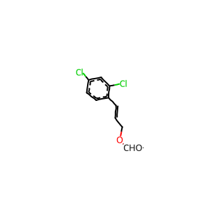 O=[C]OCC=Cc1ccc(Cl)cc1Cl